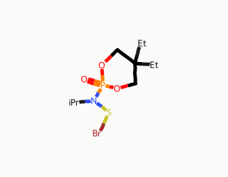 CCC1(CC)COP(=O)(N(SBr)C(C)C)OC1